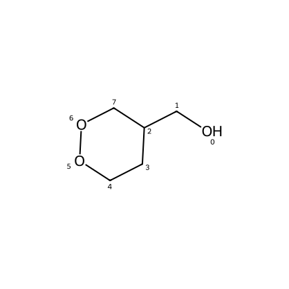 OCC1CCOOC1